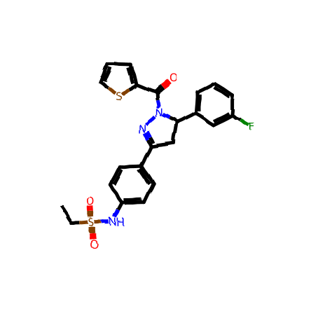 CCS(=O)(=O)Nc1ccc(C2=NN(C(=O)c3cccs3)C(c3cccc(F)c3)C2)cc1